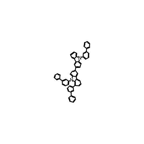 c1ccc(-c2cccc(-c3cccc4c5cc(-c6ccc7c(c6)c6ccccc6n7-c6cccc(-c7ccccc7)c6)ccc5n(-c5cccc(-c6ccccc6)c5)c34)c2)cc1